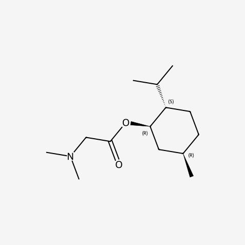 CC(C)[C@@H]1CC[C@@H](C)C[C@H]1OC(=O)CN(C)C